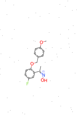 COc1ccc(COc2ccc(F)cc2/C(C)=N\O)cc1